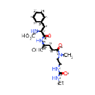 CCNC(=O)NCCN(C)C(=O)CCC(C=O)NC(=O)C(CC1CCCCC1)NC(=O)O